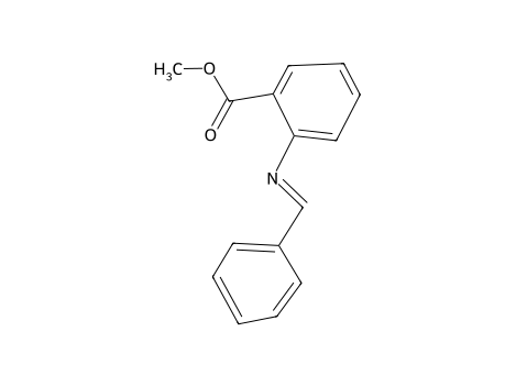 COC(=O)c1ccccc1N=Cc1ccccc1